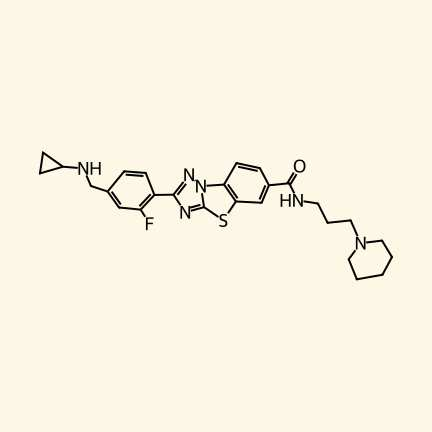 O=C(NCCCN1CCCCC1)c1ccc2c(c1)sc1nc(-c3ccc(CNC4CC4)cc3F)nn12